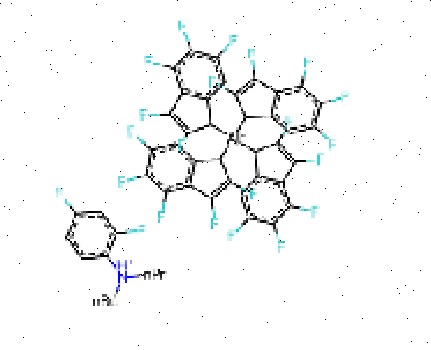 CCCC[NH+](CCC)c1ccc(F)cc1F.FC1=C(F)[CH]([Al-]([CH]2C(F)=C(F)c3c2cc(F)c(F)c3F)([CH]2C(F)=C(F)c3c2cc(F)c(F)c3F)[CH]2C(F)=C(F)c3c2cc(F)c(F)c3F)c2cc(F)c(F)c(F)c21